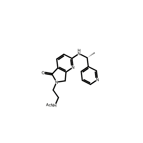 CC(=O)NCCN1Cc2nc(N[C@H](C)c3cccnc3)ccc2C1=O